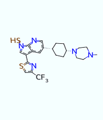 CN1CCN([C@H]2CC[C@@H](c3cnc4c(c3)c(-c3nc(C(F)(F)F)cs3)cn4S)CC2)CC1